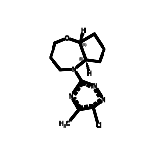 Cc1nc(N2CCCO[C@@H]3CCC[C@H]32)nnc1Cl